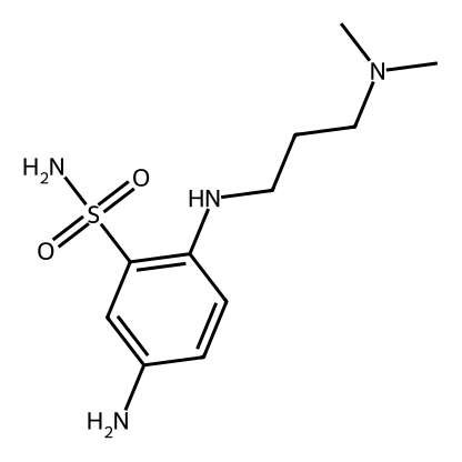 CN(C)CCCNc1ccc(N)cc1S(N)(=O)=O